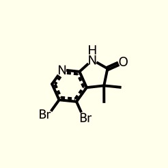 CC1(C)C(=O)Nc2ncc(Br)c(Br)c21